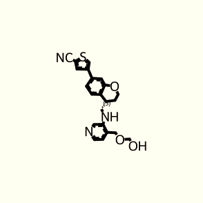 N#Cc1cc(-c2ccc3c(c2)OCC[C@@H]3CNc2cnccc2COCO)cs1